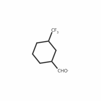 O=[C]C1CCCC(C(F)(F)F)C1